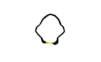 C1CCCCCCCSCCCCCCC1